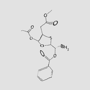 B[C@H](OC(=O)c1ccccc1)C1OC(OC(C)=O)C(CC(=O)OC)S1